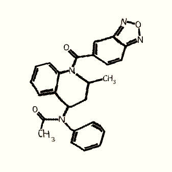 CC(=O)N(c1ccccc1)C1CC(C)N(C(=O)c2ccc3nonc3c2)c2ccccc21